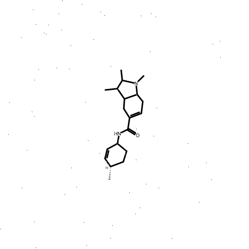 CC1C2CC(C(=O)NC3C=C[C@@H](C)CC3)=CCC2N(C)C1C